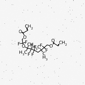 C=CC(=O)OCC(F)(F)OC(C)(C)C(F)(F)C(F)(F)CC(C)(C)C(F)(F)COC(=O)C=C